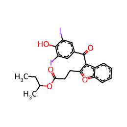 CCC(C)OC(=O)CCc1oc2ccccc2c1C(=O)c1cc(I)c(O)c(I)c1